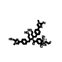 CCCCc1nc(-c2ccc(CC(CCO)N(C(=O)C3=CC(Cl)(C#N)C(OC(C)C)(O[C@H](C)CF)C=C3)C(CCO)Cc3ccc(-c4cn(C)c(C(C)=O)n4)cc3)cc2)cn1C